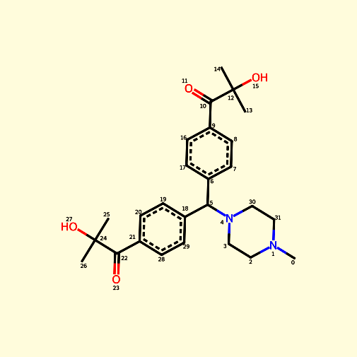 CN1CCN(C(c2ccc(C(=O)C(C)(C)O)cc2)c2ccc(C(=O)C(C)(C)O)cc2)CC1